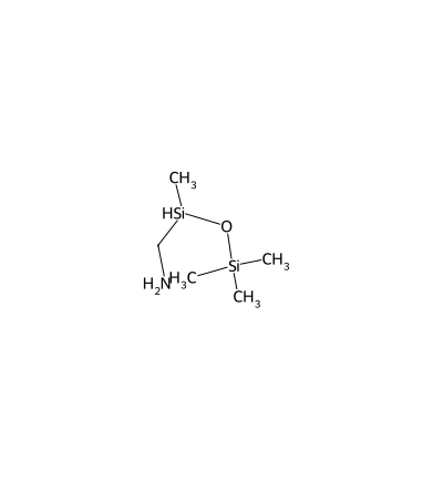 C[SiH](CN)O[Si](C)(C)C